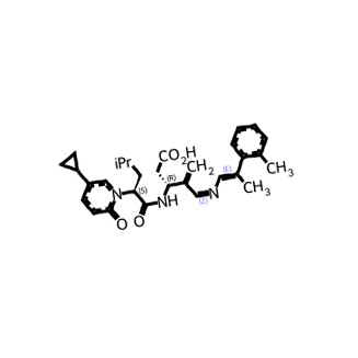 C=C(/C=N\C=C(/C)c1ccccc1C)[C@@H](CC(=O)O)NC(=O)[C@H](CC(C)C)n1cc(C2CC2)ccc1=O